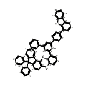 c1ccc(-c2cc(-c3ccc(-c4cccc5c4oc4ccccc45)cc3)nc(-c3cccc4c3Oc3c(ccc5c3-c3ccccc3C5(c3ccccc3)c3ccccc3)O4)n2)cc1